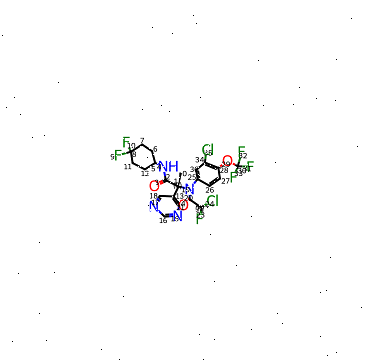 C[C@](C(=O)NC1CCC(F)(F)CC1)(c1cncnc1)N(C(=O)[C@H](F)Cl)c1ccc(OC(F)(F)F)c(Cl)c1